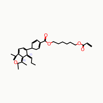 C=CC(=O)OCCCCCCOC(=O)C1=CCC(c2ccc(C(=C)C)c(=C(/C)C(C)=O)/c2=C\CC)C=C1